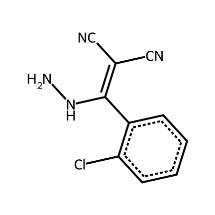 N#CC(C#N)=C(NN)c1ccccc1Cl